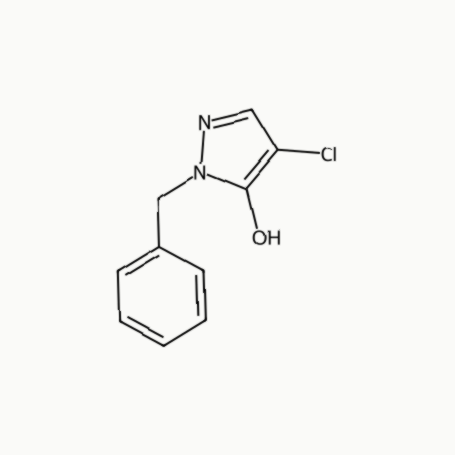 Oc1c(Cl)cnn1Cc1ccccc1